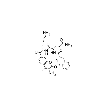 Cc1c(N)c(=O)oc2cc(C(=O)[C@H](CCCCN)NC(=O)[C@H](CCC(N)=O)NC(=O)[C@@H](N)Cc3ccccc3)ccc12